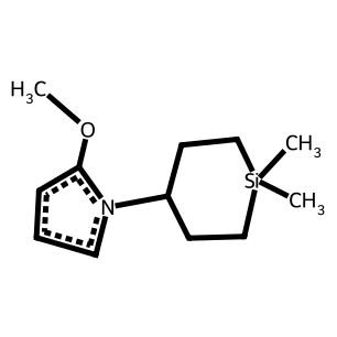 COc1cccn1C1CC[Si](C)(C)CC1